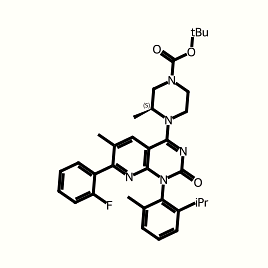 Cc1cc2c(N3CCN(C(=O)OC(C)(C)C)C[C@@H]3C)nc(=O)n(-c3c(C)cccc3C(C)C)c2nc1-c1ccccc1F